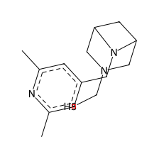 Cc1cc(CN2C3CC2CN(CS)C3)cc(C)n1